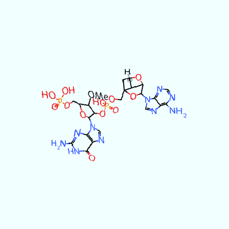 COC1C(COP(=O)(O)O)OC(n2cnc3c(=O)[nH]c(N)nc32)C1OP(=O)(O)OCC12C[C@H]3OC(C(n4cnc5c(N)ncnc54)O1)C32